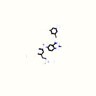 COc1ncc(N(C)c2ccc3nc(C)nc(NCc4cc(N)cc(C)c4F)c3c2)cc1CCN(C)C